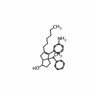 C=C(c1ccccc1)C12CCC(O)C1CC(CCCCCC)=C2c1cccc(N)c1